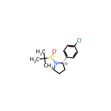 CC(C)(C)[S+]([O-])N1CCC[C@H]1c1ccc(Cl)cc1